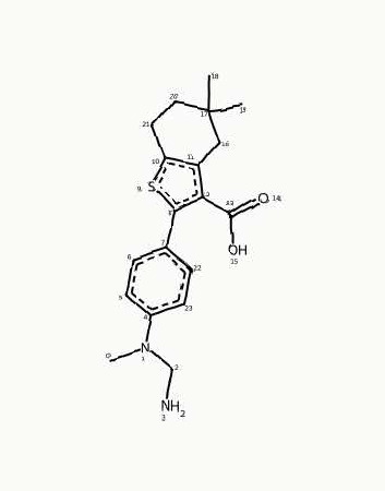 CN(CN)c1ccc(-c2sc3c(c2C(=O)O)CC(C)(C)CC3)cc1